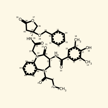 COCC(=O)N1C[C@H](NC(=O)c2cc(C)c(O)c(C)c2)C(=O)N(CC(=O)N[C@@]2(OCc3ccccc3)COC(=O)C2)c2ccccc21